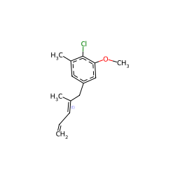 C=C/C=C(\C)Cc1cc(C)c(Cl)c(OC)c1